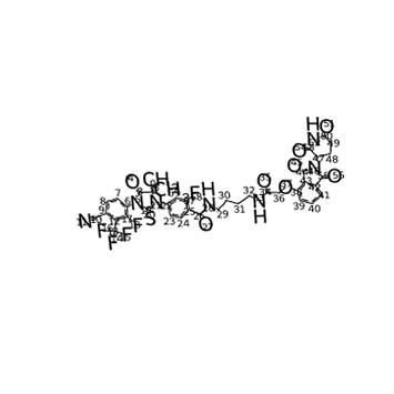 CC1(C)C(=O)N(c2ccc(C#N)c(C(F)(F)F)c2F)C(=S)N1c1ccc(C(=O)NCCCCNC(=O)COc2cccc3c2C(=O)N(C2CCC(=O)NC2=O)C3=O)c(F)c1